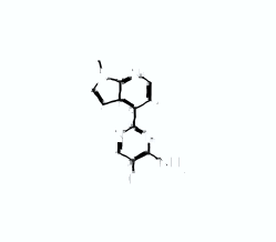 Cn1ccc2c(-c3ncc(F)c(N)n3)ccnc21